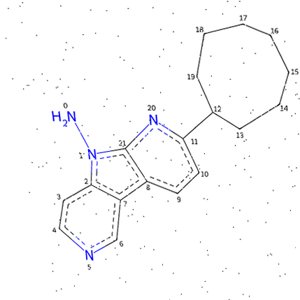 Nn1c2ccncc2c2ccc(C3CCCCCCC3)nc21